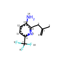 C=C(C)Cc1nc(C(F)(F)F)ccc1N